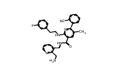 Cc1cc(C(=O)NCc2cccnc2CN)c(NCCc2cccc(F)c2)nc1-c1ccccc1C#N